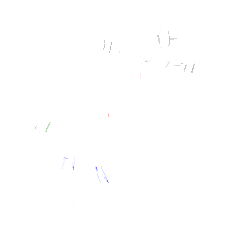 CC(C)(C)[Si](C)(C)OCCOc1cnc(Cl)nc1Cl